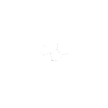 CC[C@]1(O)C(=O)OC(C)=C1C